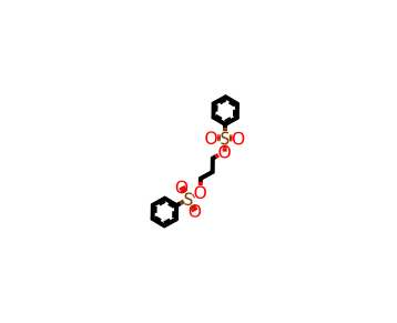 O=S(=O)(OCCCOS(=O)(=O)c1ccccc1)c1ccccc1